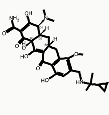 COc1c(CNC(C)(C)C2CC2)cc(O)c2c1C[C@H]1C[C@H]3[C@H](N(C)C)C(O)=C(C(N)=O)C(=O)[C@@]3(O)C(O)=C1C2=O